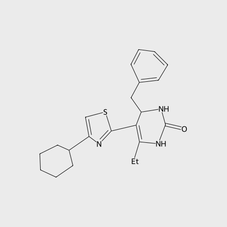 CCC1=C(c2nc(C3CCCCC3)cs2)C(Cc2ccccc2)NC(=O)N1